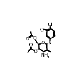 CC(=O)OCC1O[C@H](Sc2ccc(Cl)c(Cl)c2)C(C)[C@@H](N)[C@H]1OC(C)=O